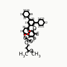 COC(C)CCOS(=O)(=O)c1c(F)c(F)c(Oc2c(C3CCCCC3)cc(C3CCCCC3)cc2C2CCCCC2)c(F)c1F